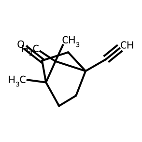 C#CC12CCC(C)(C(=O)C1)C2(C)C